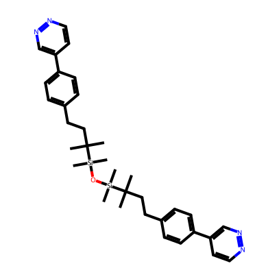 CC(C)(CCc1ccc(-c2ccnnc2)cc1)[Si](C)(C)O[Si](C)(C)C(C)(C)CCc1ccc(-c2ccnnc2)cc1